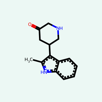 Cc1[nH]c2ccccc2c1C1CNCC(=O)C1